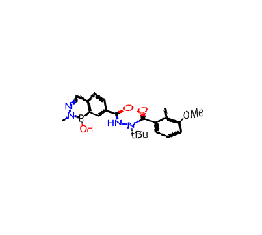 COc1cccc(C(=O)N(NC(=O)c2ccc3c(c2)B(O)N(C)N=C3)C(C)(C)C)c1C